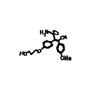 COc1ccc(C(C#N)=C(C(N)=O)c2ccc(OCCCO)cc2)cc1